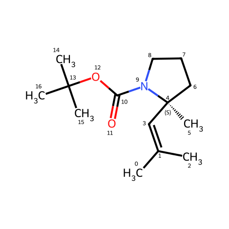 CC(C)=C[C@]1(C)CCCN1C(=O)OC(C)(C)C